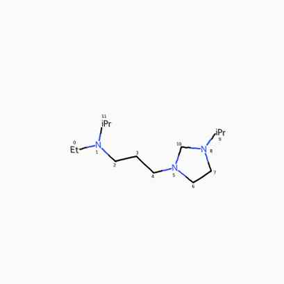 CCN(CCCN1CCN(C(C)C)C1)C(C)C